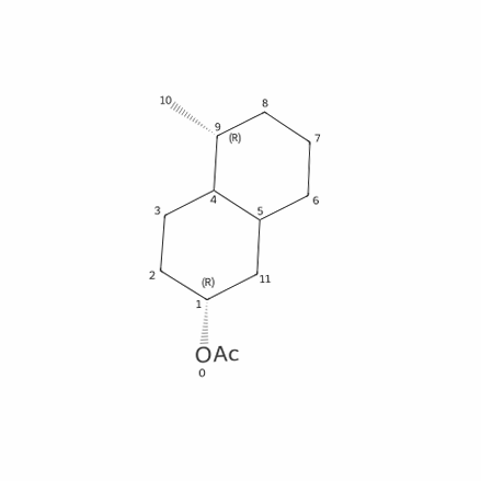 CC(=O)O[C@@H]1CCC2C(CCC[C@H]2C)C1